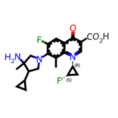 Cc1c(N2CC(C3CC3)C(C)(N)C2)c(F)cc2c(=O)c(C(=O)O)cn([C@@H]3C[C@@H]3F)c12